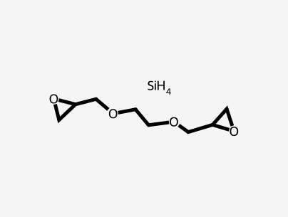 C(COCC1CO1)OCC1CO1.[SiH4]